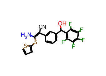 N#C/C(=C(\N)Sc1cccs1)c1cccc(C(O)c2c(F)c(F)c(F)c(F)c2F)c1